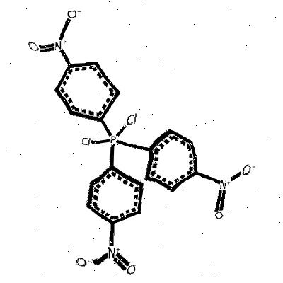 O=[N+]([O-])c1ccc(P(Cl)(Cl)(c2ccc([N+](=O)[O-])cc2)c2ccc([N+](=O)[O-])cc2)cc1